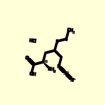 CSSC(CN=[N+]=[N-])C[C@H](N)C(=O)O.Cl